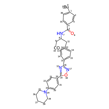 CC(C)(C)c1ccc(C(=O)NC(CC(=O)O)Cc2ccc(-c3noc(-c4ccc(N5CCCCC5)cc4)n3)cc2)cc1